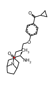 C[C@@H](N)C(=O)N1C2CCC1CN(CCCOc1ccc(C(=O)C3CC3)cc1)C2